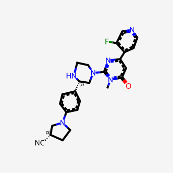 Cn1c(N2CCN[C@@H](c3ccc(N4CC[C@H](C#N)C4)cc3)C2)nc(-c2ccncc2F)cc1=O